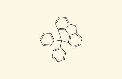 c1ccc(C2(c3ccccc3)c3cccc4oc5cccc2c5c34)cc1